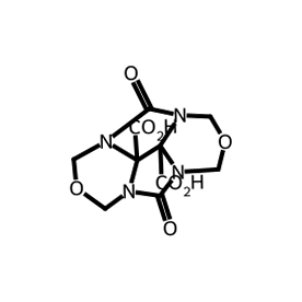 O=C1N2COCN3C(=O)N4COCN1C4(C(=O)O)C23C(=O)O